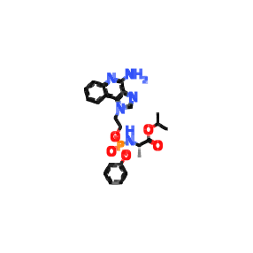 CC(C)OC(=O)[C@H](C)N[P@](=O)(OCCn1cnc2c(N)nc3ccccc3c21)Oc1ccccc1